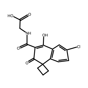 O=C(O)CNC(=O)C1=C(O)c2cc(Cl)ccc2C2(CCC2)C1=O